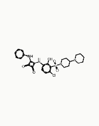 O=c1c(Nc2ccccc2)c(Nc2ccc(Cl)c(S(=O)(=O)N3CCC(N4CCCCC4)CC3)c2O)c1=O